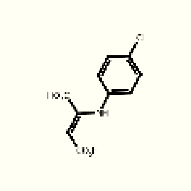 O=C(O)/C=C(\Nc1ccc(Cl)cc1)C(=O)O